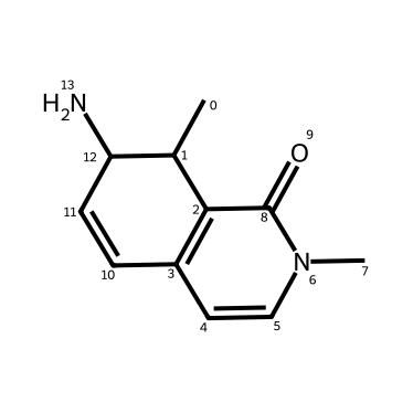 CC1c2c(ccn(C)c2=O)C=CC1N